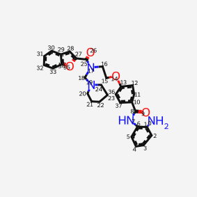 Nc1ccccc1NC(=O)c1ccc(OCCN(CN2CCCCC2)C(=O)c2cc3ccccc3o2)cc1